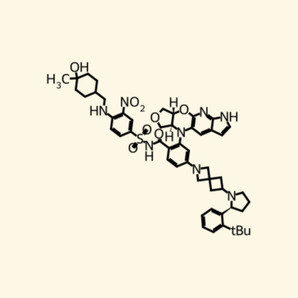 CC1(O)CCC(CNc2ccc(S(=O)(=O)NC(=O)c3ccc(N4CC5(CC(N6CCC[C@H]6c6ccccc6C(C)(C)C)C5)C4)cc3N3c4cc5cc[nH]c5nc4O[C@H]4COC[C@@H]43)cc2[N+](=O)[O-])CC1